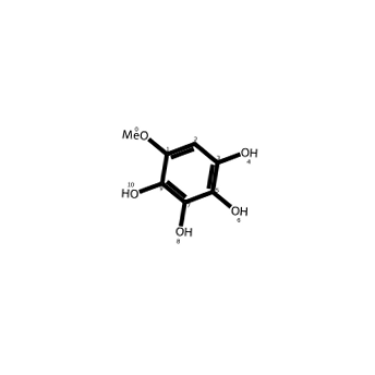 COc1cc(O)c(O)c(O)c1O